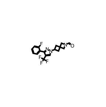 O=CN1CC2(CC(n3cc(C(F)(F)F)c(-c4ccccc4F)n3)C2)C1